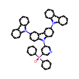 O=P(c1ccccc1)(c1ccccc1)c1cncc(-n2c3ccc(-n4c5ccccc5c5ccccc54)cc3c3cc(-n4c5ccccc5c5ccccc54)ccc32)c1